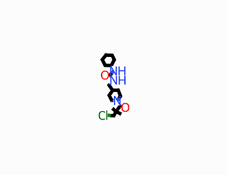 CC(C)(CCl)C(=O)N1CCC(CNC(=O)NC2CCCCC2)CC1